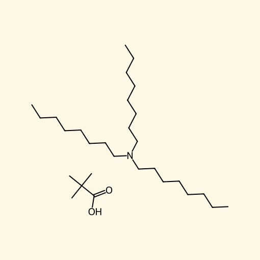 CC(C)(C)C(=O)O.CCCCCCCCN(CCCCCCCC)CCCCCCCC